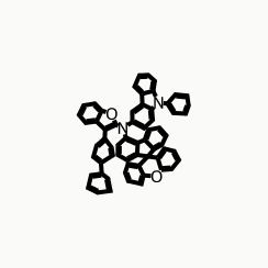 c1ccc(-c2ccc(-c3c(N(c4ccc5c(c4)c4ccccc4n5-c4ccccc4)c4cccc5c4-c4ccccc4C54c5ccccc5Oc5ccccc54)oc4ccccc34)cc2)cc1